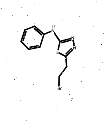 BrCCc1nnc(Nc2ccccc2)s1